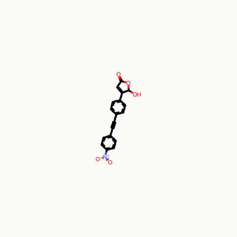 O=C1C=C(c2ccc(C#Cc3ccc([N+](=O)[O-])cc3)cc2)C(O)O1